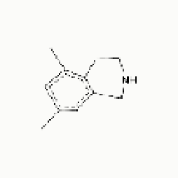 Cc1cc(C)c2c(c1)CNCC2